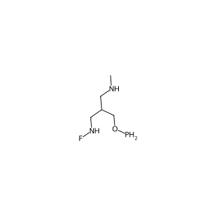 CNCC(CNF)COP